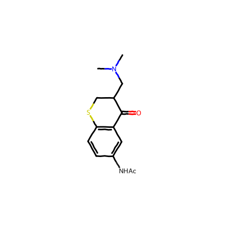 CC(=O)Nc1ccc2c(c1)C(=O)C(CN(C)C)CS2